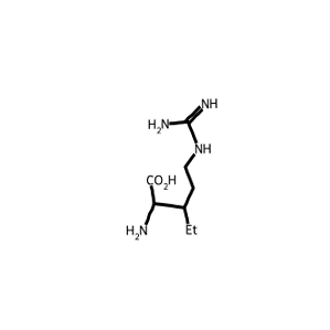 CCC(CCNC(=N)N)C(N)C(=O)O